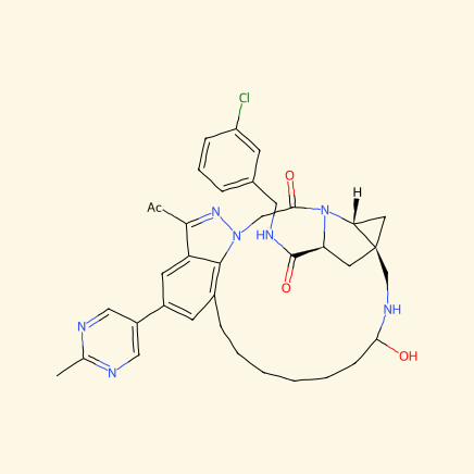 CC(=O)c1nn2c3c(cc(-c4cnc(C)nc4)cc13)CCCCCCC(O)NC[C@@]13C[C@@H](C(=O)NCc4cccc(Cl)c4)N(C(=O)C2)[C@@H]1C3